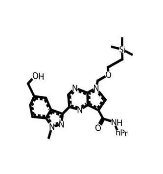 CCCNC(=O)c1cn(COCC[Si](C)(C)C)c2ncc(-c3nn(C)c4ccc(CO)cc34)nc12